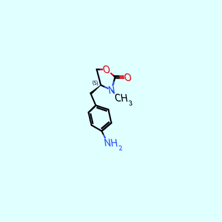 CN1C(=O)OC[C@@H]1Cc1ccc(N)cc1